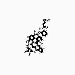 CCCCCCCCCCCCC(=O)Nc1ccccc1OCNc1ccc(Cl)c(NC(=O)C(c2nc3occc3c(=O)n2Nc2ccccn2)n2c(=O)n(C)n(C)c2=O)c1